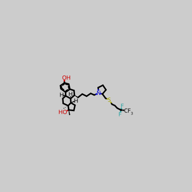 C[C@]1(O)CC[C@H]2[C@@H]3[C@H](CCCCCN4CCCC4CSCCCC(F)(F)C(F)(F)F)Cc4cc(O)ccc4[C@H]3CC[C@@]21C